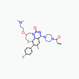 C=CC(=O)N1CCN(c2nc(=O)n3c4c(c(-c5ccc(F)cc5)c(C)cc24)SCC(OCCN(C)C)C3)CC1